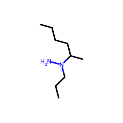 CCCCC(C)N(N)CCC